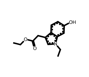 CCOC(=O)Cc1cn(CC)c2cc(O)ccc12